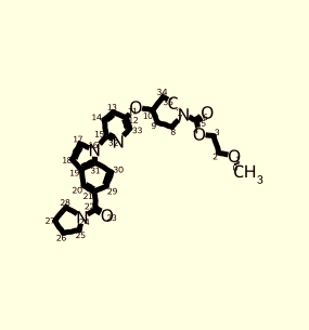 COCCOC(=O)N1CCC(Oc2ccc(-n3ccc4cc(C(=O)N5CCCC5)ccc43)nc2)CC1